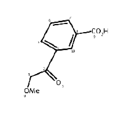 COCC(=O)c1cccc(C(=O)O)c1